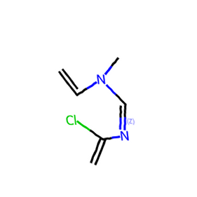 C=CN(C)/C=N\C(=C)Cl